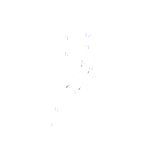 CC1(C)O[C@@H]2[C@H](O1)[C@@H](C#Cc1cccc(F)n1)O[C@H]2n1cnc2c(C3(N)CCCC3)ncnc21